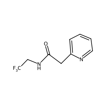 O=C(Cc1ccccn1)NCC(F)(F)F